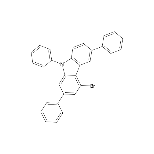 Brc1cc(-c2ccccc2)cc2c1c1cc(-c3ccccc3)ccc1n2-c1ccccc1